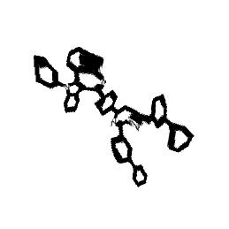 c1ccc(-c2cccc(-c3cc(-c4ccc(-c5nc6ccccc6c6c5c5ccccc5n6-c5ccccc5)cc4)nc(-c4cccc(-c5ccccc5)c4)n3)c2)cc1